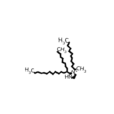 CCCCCCCCCCCCC(CCCCCCCCC)c1[nH]cc[n+]1C(C)CCCCCCCCCCC